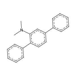 CN(C)c1cc(-c2ccccc2)ccc1-c1ccccc1